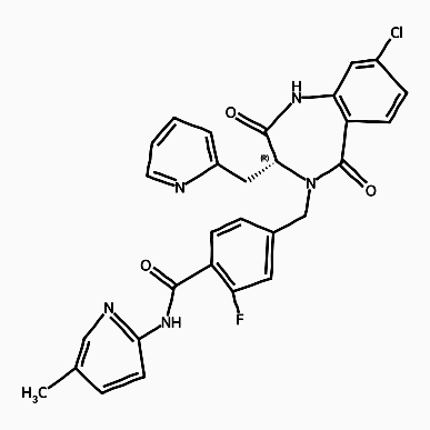 Cc1ccc(NC(=O)c2ccc(CN3C(=O)c4ccc(Cl)cc4NC(=O)[C@H]3Cc3ccccn3)cc2F)nc1